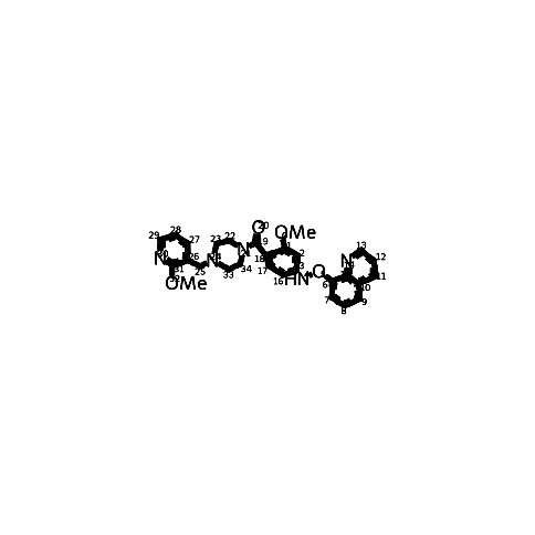 COc1cc(NOc2cccc3cccnc23)ccc1C(=O)N1CCN(Cc2cccnc2OC)CC1